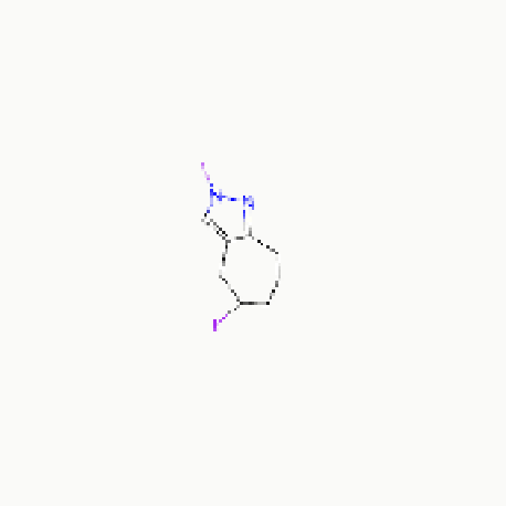 IC1CCCc2nn(I)cc2C1